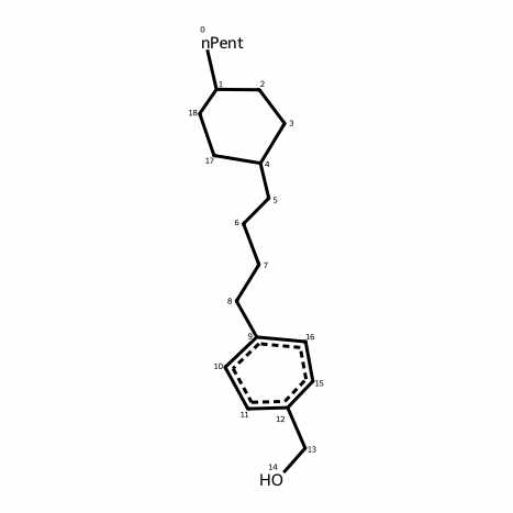 CCCCCC1CCC(CCCCc2ccc(CO)cc2)CC1